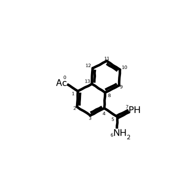 CC(=O)c1ccc(C(N)=P)c2ccccc12